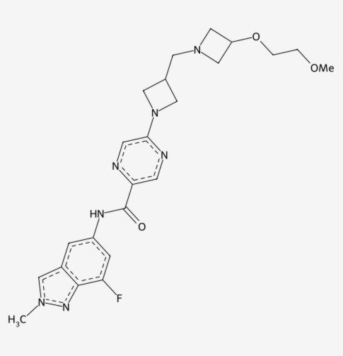 COCCOC1CN(CC2CN(c3cnc(C(=O)Nc4cc(F)c5nn(C)cc5c4)cn3)C2)C1